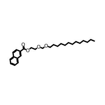 CCCCCCCCCCCCCOCOCCOC(=O)c1ccc2ccccc2c1